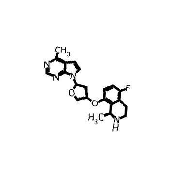 Cc1ncnc2c1ccn2C1CC(Oc2ccc(F)c3c2C(C)NCC3)CO1